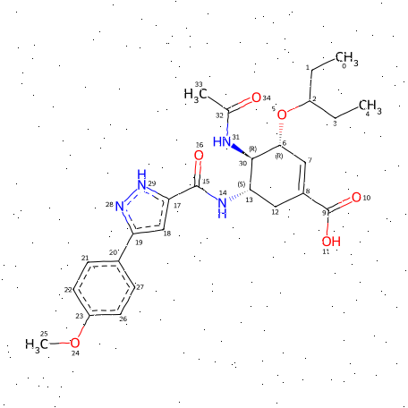 CCC(CC)O[C@@H]1C=C(C(=O)O)C[C@H](NC(=O)c2cc(-c3ccc(OC)cc3)n[nH]2)[C@H]1NC(C)=O